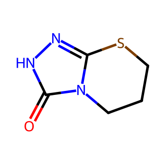 O=c1[nH]nc2n1CCCS2